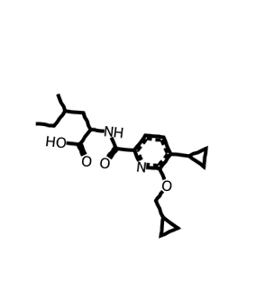 CCC(C)CC(NC(=O)c1ccc(C2CC2)c(OCC2CC2)n1)C(=O)O